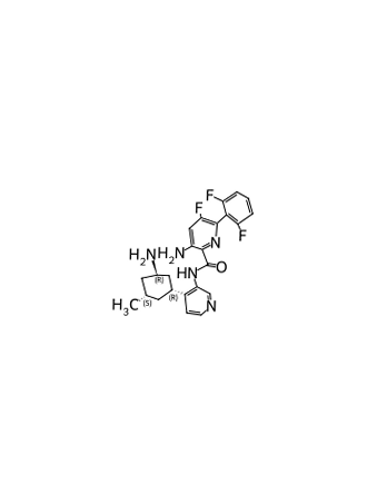 C[C@@H]1C[C@@H](N)C[C@H](c2ccncc2NC(=O)c2nc(-c3c(F)cccc3F)c(F)cc2N)C1